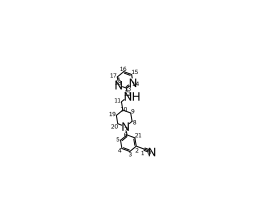 N#Cc1cccc(N2CCC(CNc3ncccn3)CC2)c1